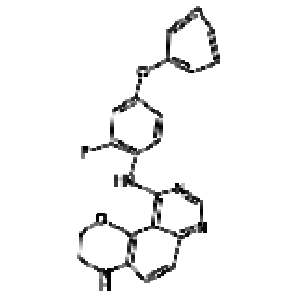 Fc1cc(Oc2ccccc2)ccc1Nc1ncnc2ccc3c(c12)OCCN3